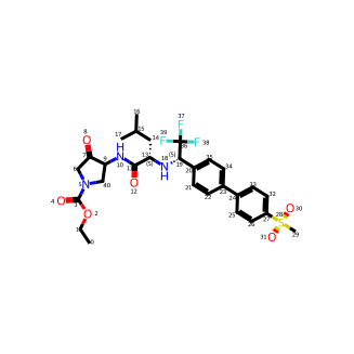 CCOC(=O)N1CC(=O)C(NC(=O)[C@H](CC(C)C)N[C@@H](c2ccc(-c3ccc(S(C)(=O)=O)cc3)cc2)C(F)(F)F)C1